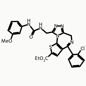 CCOC(=O)c1cc2c(s1)-n1c(nnc1CNC(=O)Nc1cccc(OC)c1)CN=C2c1ccccc1Cl